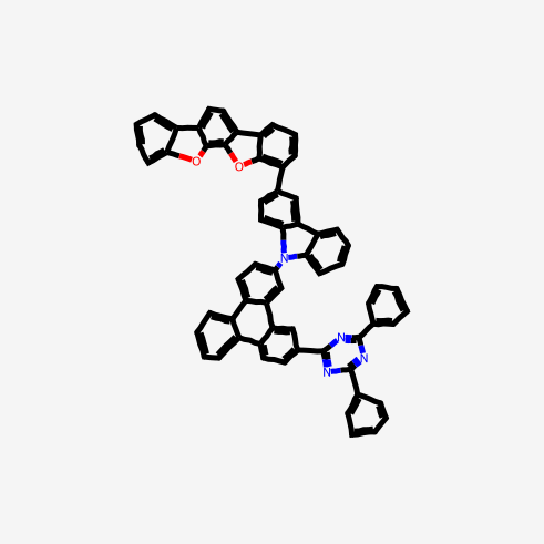 c1ccc(-c2nc(-c3ccccc3)nc(-c3ccc4c5ccccc5c5ccc(-n6c7ccccc7c7cc(-c8cccc9c8oc8c9ccc9c%10ccccc%10oc98)ccc76)cc5c4c3)n2)cc1